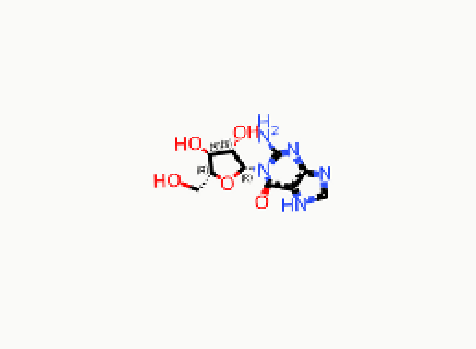 Nc1nc2nc[nH]c2c(=O)n1[C@@H]1O[C@H](CO)[C@@H](O)[C@@H]1O